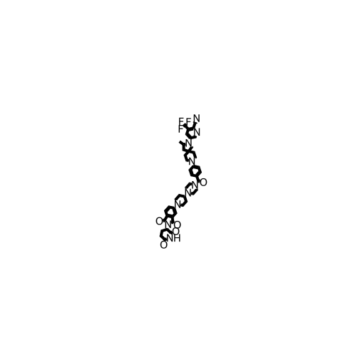 CC1CC2(CCN(c3ccc(C(=O)N4CCN(C5CCN(c6ccc7c(c6)C(=O)N(C6CCC(=O)NC6=O)C7=O)CC5)CC4)cc3)CC2)CN1c1cnc(C#N)c(C(F)(F)F)c1